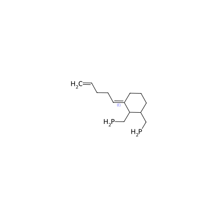 C=CCC/C=C1\CCCC(CP)C1CP